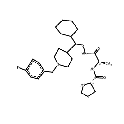 C[C@@H](NC(=O)[C@@H]1CSCN1)C(=O)NSC(C1CCCCC1)C1CCN(Cc2ccc(F)cc2)CC1